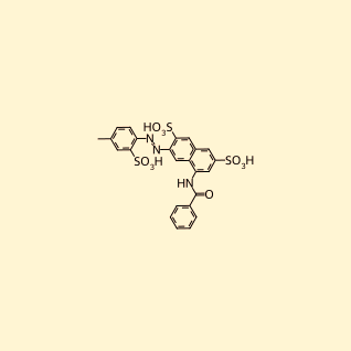 Cc1ccc(N=Nc2cc3c(NC(=O)c4ccccc4)cc(S(=O)(=O)O)cc3cc2S(=O)(=O)O)c(S(=O)(=O)O)c1